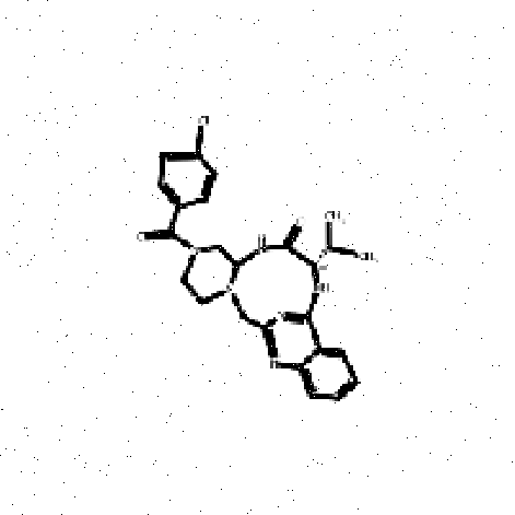 CC(C)[C@@H]1Nc2nc(nc3ccccc23)CN2CCN(C(=O)c3ccc(Cl)cc3)CC2NC1=O